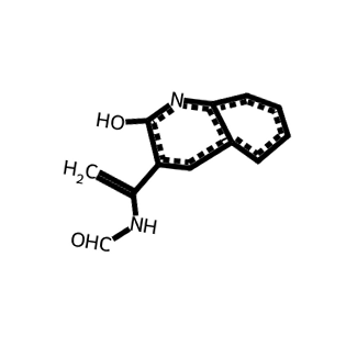 C=C(NC=O)c1cc2ccccc2nc1O